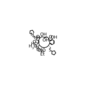 CCC(=O)O[C@H]1C[C@@H](CSC2CCCC2)c2cccc(O)c2C(=O)/C=C(\O)[C@H](O)C(=O)/C(C(=O)NCN2CCCC2)=C(/O)[C@@H](N(C)C)C1